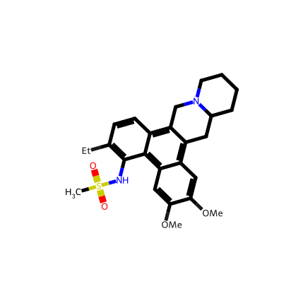 CCc1ccc2c3c(c4cc(OC)c(OC)cc4c2c1NS(C)(=O)=O)CC1CCCCN1C3